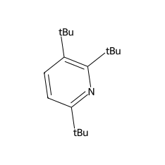 CC(C)(C)c1ccc(C(C)(C)C)c(C(C)(C)C)n1